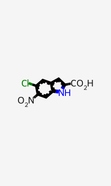 O=C(O)c1cc2cc(Cl)c([N+](=O)[O-])cc2[nH]1